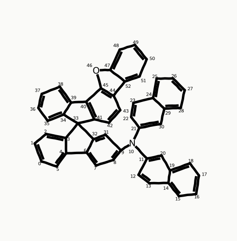 c1ccc2c(c1)-c1ccc(N(c3ccc4ccccc4c3)c3ccc4ccccc4c3)cc1C21c2ccccc2-c2c1ccc1c2oc2ccccc21